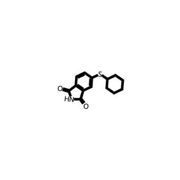 O=C1NC(=O)c2cc(SC3CCCCC3)ccc21